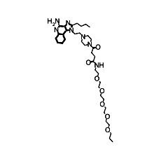 CCCCc1nc2c(N)nc3ccccc3c2n1CCN1CCN(C(=O)CCC(=O)NCCOCCOCCOCCOCCOCCC)CC1